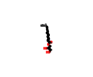 CCCCCCCCCCCCCCC/C=C/C(=O)OCC(O)CO